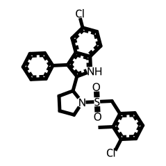 Cc1c(Cl)cccc1CS(=O)(=O)N1CCCC1c1[nH]c2ccc(Cl)cc2c1-c1ccccc1